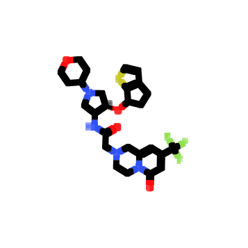 O=C(CN1CCn2c(cc(C(F)(F)F)cc2=O)C1)NC1CN(C2CCOCC2)C[C@@H]1OC1CCc2ccsc21